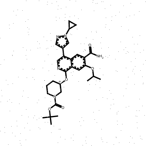 CC(C)Oc1cc2c(O[C@@H]3CCCN(C(=O)OC(C)(C)C)C3)ncc(-c3cnn(C4CC4)c3)c2cc1C(N)=O